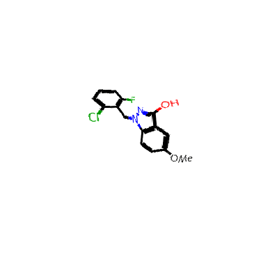 COc1ccc2c(c1)c(O)nn2Cc1c(F)cccc1Cl